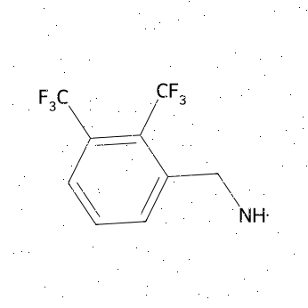 [NH]Cc1cccc(C(F)(F)F)c1C(F)(F)F